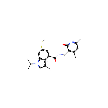 CSc1cc(C(=O)NCc2c(C)cc(C)[nH]c2=O)c2c(C)cn(C(C)C)c2c1